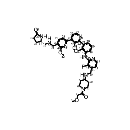 COCC(=O)N1CCC(NCc2ccnc(Nc3cccc(-c4nccc(-c5ccc(CNC[C@@H]6CCC(=O)N6)c(OC)n5)c4Cl)c3Cl)c2F)CC1